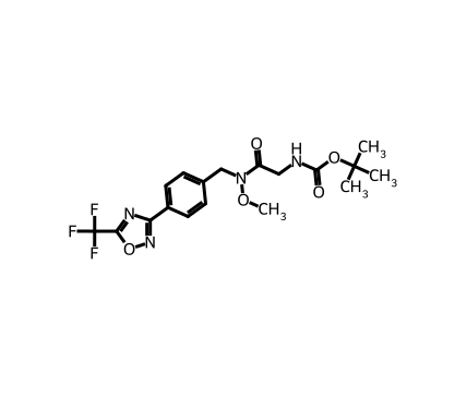 CON(Cc1ccc(-c2noc(C(F)(F)F)n2)cc1)C(=O)CNC(=O)OC(C)(C)C